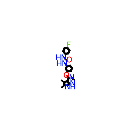 Cc1[nH]c2ncnc(Oc3cccc(NC(=O)Nc4ccc(F)cc4)c3)c2c1C